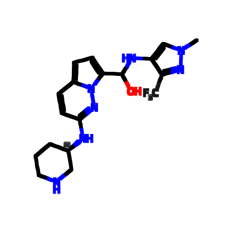 Cn1cc(NC(O)c2ccc3ccc(N[C@@H]4CCCNC4)nn23)c(C(F)(F)F)n1